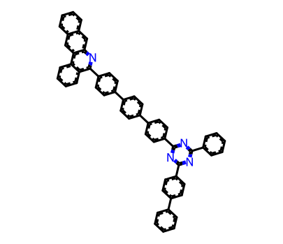 c1ccc(-c2ccc(-c3nc(-c4ccccc4)nc(-c4ccc(-c5ccc(-c6ccc(-c7nc8cc9ccccc9cc8c8ccccc78)cc6)cc5)cc4)n3)cc2)cc1